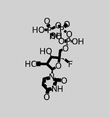 C#CC1[C@H](n2ccc(=O)[nH]c2=O)O[C@](CF)(COP(=O)(O)OP(=O)(O)OP(=O)(O)O)[C@H]1O